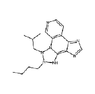 CCCCN1Nc2c3ncnc-3c3ccncc3n2N1CC(C)C